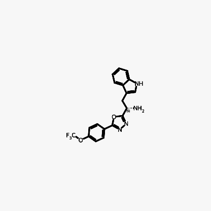 N[C@@H](Cc1c[nH]c2ccccc12)c1nnc(-c2ccc(OC(F)(F)F)cc2)o1